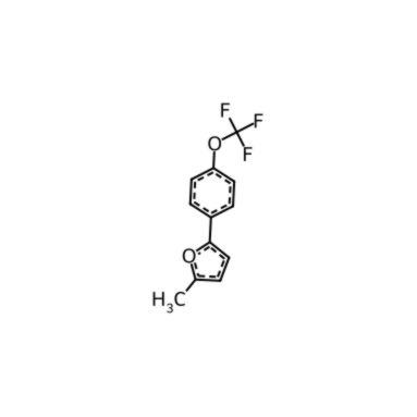 Cc1ccc(-c2ccc(OC(F)(F)F)cc2)o1